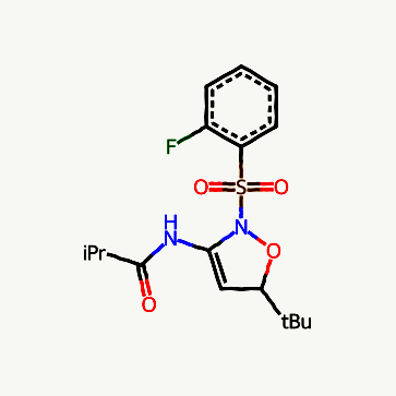 CC(C)C(=O)NC1=CC(C(C)(C)C)ON1S(=O)(=O)c1ccccc1F